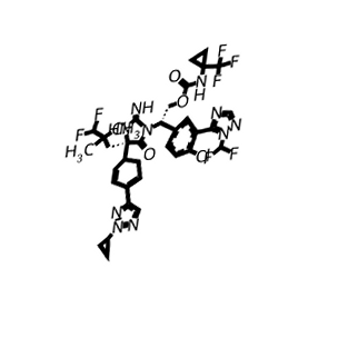 CC(C)(C[C@]1(C2C=CC(c3cnn(C4CC4)n3)=CC2)NC(=N)N([C@H](COC(=O)NC2(C(F)(F)F)CC2)c2ccc(Cl)c(-c3ncnn3C(F)F)c2)C1=O)C(F)F